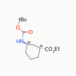 CCOC(=O)[C@@H]1CCC[C@@H](NC(=O)OC(C)(C)C)C1